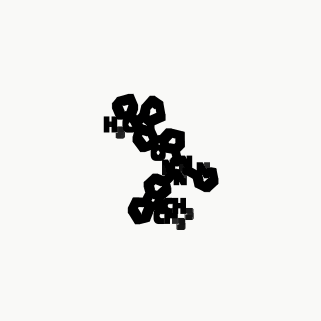 CC1(C)c2ccccc2-c2ccc(-c3nc(-c4ccccn4)nc(-c4cccc5c4oc4ccc6c(c45)-c4ccccc4C6(C)c4ccccc4)n3)cc21